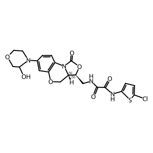 O=C(NC[C@@H]1OC(=O)N2c3ccc(N4CCOCC4O)cc3OC[C@@H]12)C(=O)Nc1ccc(Cl)s1